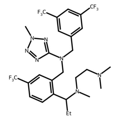 CCC(c1ccc(C(F)(F)F)cc1CN(Cc1cc(C(F)(F)F)cc(C(F)(F)F)c1)c1nnn(C)n1)N(C)CCN(C)C